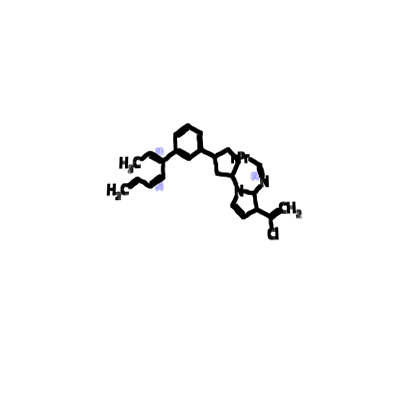 C=C/C=C\C(=C/C)c1cccc(C2CCC(N3C=CC(C(=C)Cl)C3/N=C\CCC)C2)c1